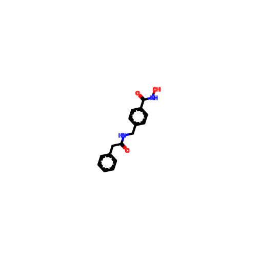 O=C(Cc1ccccc1)NCc1ccc(C(=O)NO)cc1